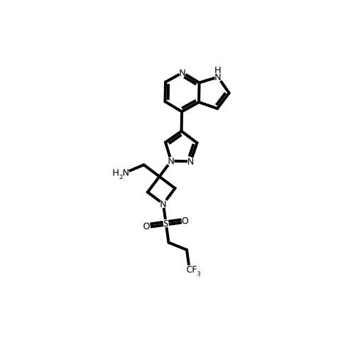 NCC1(n2cc(-c3ccnc4[nH]ccc34)cn2)CN(S(=O)(=O)CCC(F)(F)F)C1